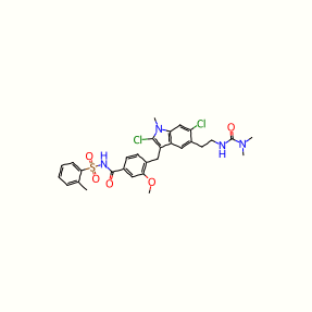 COc1cc(C(=O)NS(=O)(=O)c2ccccc2C)ccc1Cc1c(Cl)n(C)c2cc(Cl)c(CCNC(=O)N(C)C)cc12